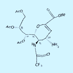 COC(=O)C1=C[C@H](N)[C@@H](NC(=O)C(F)(F)F)[C@H]([C@H](OC(C)=O)[C@@H](COC(C)=O)OC(C)=O)O1